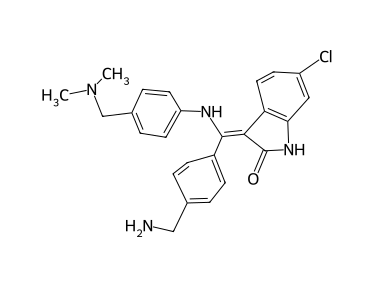 CN(C)Cc1ccc(NC(=C2C(=O)Nc3cc(Cl)ccc32)c2ccc(CN)cc2)cc1